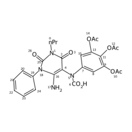 CCCn1c(=O)c(N(C(=O)O)c2cc(OC(C)=O)c(OC(C)=O)c(OC(C)=O)c2)c(N)n(-c2ccccc2)c1=O